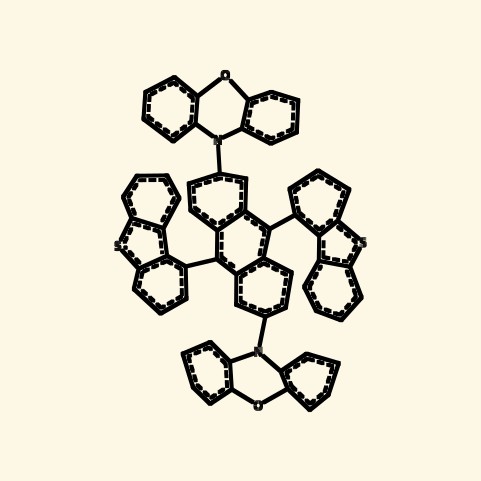 c1ccc2c(c1)Oc1ccccc1N2c1ccc2c(-c3cccc4sc5ccccc5c34)c3cc(N4c5ccccc5Oc5ccccc54)ccc3c(-c3cccc4sc5ccccc5c34)c2c1